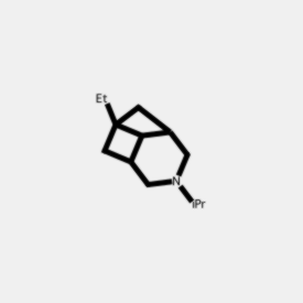 CCC12CC3CN(C(C)C)CC(C1)C32